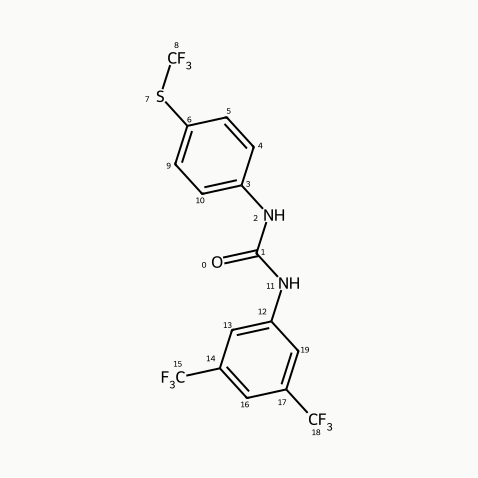 O=C(Nc1ccc(SC(F)(F)F)cc1)Nc1cc(C(F)(F)F)cc(C(F)(F)F)c1